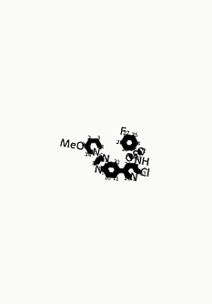 COC1CCCN(c2cnc3ccc(-c4cnc(Cl)c(NS(=O)(=O)c5ccc(F)cc5)c4)cc3n2)C1